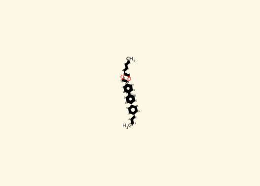 CCCCC[C@H]1CO[C@H](c2ccc(-c3ccc([C@H]4CC[C@H](CCCC)CC4)cc3)cc2)CO1